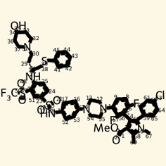 COC(=O)c1c(-c2c(F)ccc(N3CCN(c4ccc(NS(=O)(=O)c5ccc(N[C@H](CCN6CCC(O)CC6)CSc6ccccc6)c(S(=O)(=O)C(F)(F)F)c5)cc4)CC3)c2F)c(-c2ccc(Cl)cc2)n(C)c1C